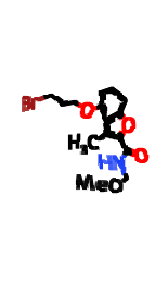 COCNC(=O)c1oc2cccc(OCCCBr)c2c1C